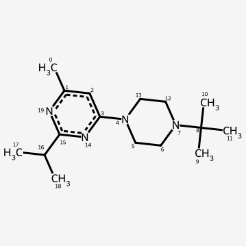 Cc1cc(N2CCN(C(C)(C)C)CC2)nc(C(C)C)n1